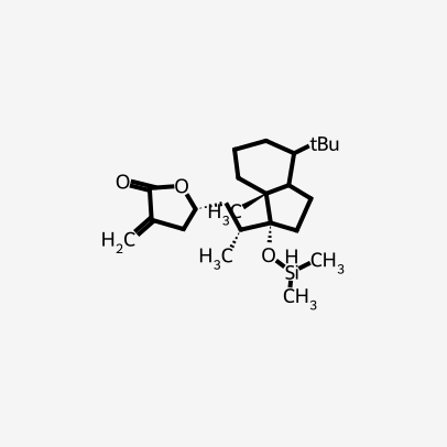 C=C1C[C@@H](C[C@@H](C)[C@]2(O[SiH](C)C)CCC3C(C(C)(C)C)CCC[C@]32C)OC1=O